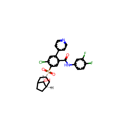 C[C@@]1(O)C2CC[C@@H]1C[C@@H](S(=O)(=O)c1cc(C(=O)Nc3ccc(F)c(F)c3)c(-c3ccncc3)cc1Cl)C2